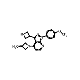 C=C1CN(c2ccnc3c2c(C2CNC2)nn3-c2ccc(OC(F)(F)F)cc2)C1